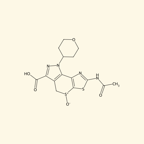 CC(=O)Nc1nc2c(s1)[S+]([O-])Cc1c(C(=O)O)nn(C3CCOCC3)c1-2